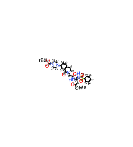 COC(=O)C[C@H](NC(=O)CN1CCc2ccc(N3CCN(C(=O)OC(C)(C)C)CC3)cc2C1=O)NS(=O)(=O)c1ccccc1